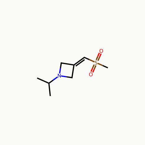 CC(C)N1CC(=CS(C)(=O)=O)C1